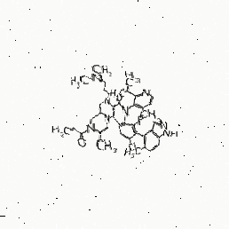 C=CC(=O)N1CC2CN(CCCN(C)C)c3c(c4cc(Cl)c(-c5c(C)ccc6[nH]ncc56)c(F)c4n(-c4c(C)ccnc4C(C)C)c3=O)N2CC1C